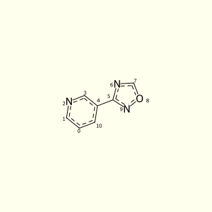 c1cncc(-c2ncon2)c1